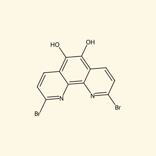 Oc1c(O)c2ccc(Br)nc2c2nc(Br)ccc12